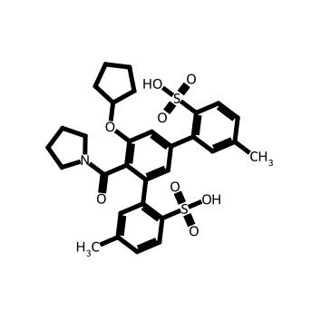 Cc1ccc(S(=O)(=O)O)c(-c2cc(OC3CCCC3)c(C(=O)N3CCCC3)c(-c3cc(C)ccc3S(=O)(=O)O)c2)c1